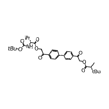 CC(C)[C@H](NC(=O)OC(C)(C)C)C(=O)OCC(=O)c1ccc(-c2ccc(C(=O)COC(=O)[C@@H](C)C(C)(C)C)cc2)cc1